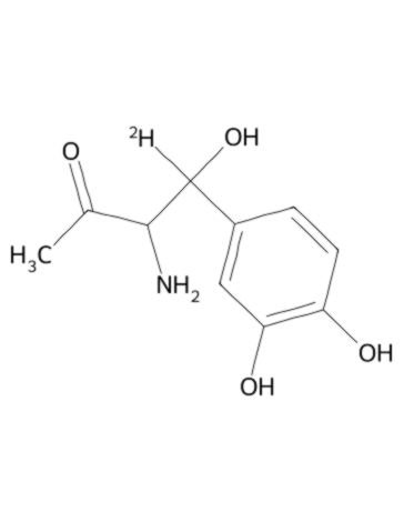 [2H]C(O)(c1ccc(O)c(O)c1)C(N)C(C)=O